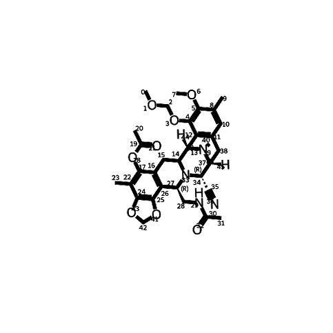 COCOc1c(OC)c(C)cc2c1[C@H]1C3Cc4c(OC(C)=O)c(C)c5c(c4[C@H](CNC(C)=O)N3[C@@H](C#N)[C@@H](C2)N1C)OCO5